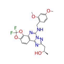 COc1ccc(CNc2nc3c4c(ccc3c3nc(C[C@@H](C)O)nn23)OC(F)(F)O4)c(OC)c1